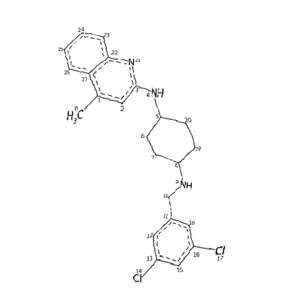 Cc1cc(NC2CCC(NCc3cc(Cl)cc(Cl)c3)CC2)nc2ccccc12